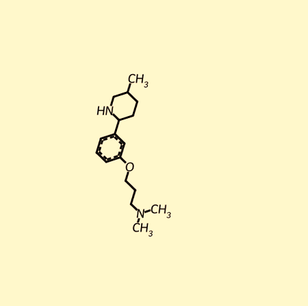 CC1CCC(c2cccc(OCCCN(C)C)c2)NC1